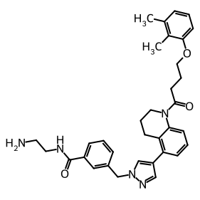 Cc1cccc(OCCCC(=O)N2CCCc3c(-c4cnn(Cc5cccc(C(=O)NCCN)c5)c4)cccc32)c1C